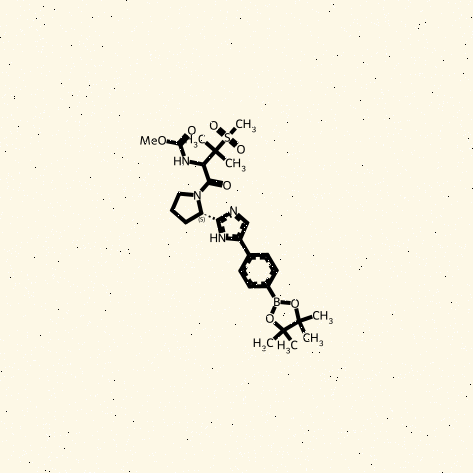 COC(=O)NC(C(=O)N1CCC[C@H]1c1ncc(-c2ccc(B3OC(C)(C)C(C)(C)O3)cc2)[nH]1)C(C)(C)S(C)(=O)=O